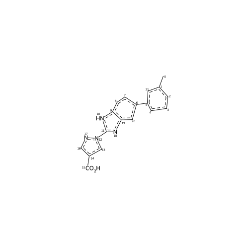 Cc1cccc(-c2ccc3[nH]c(-n4cc(C(=O)O)cn4)nc3c2)c1